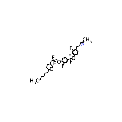 C/C=C/CCc1ccc(OC(F)(F)c2ccc(OCC(F)(F)CC3CCC(CCCCCC)OC3)c(F)c2)cc1F